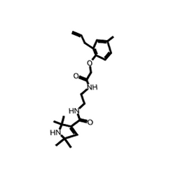 C=CCc1cc(C)ccc1OCC(=O)NCCNC(=O)C1=CC(C)(C)NC1(C)C